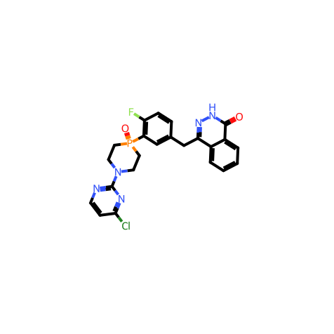 O=c1[nH]nc(Cc2ccc(F)c(P3(=O)CCN(c4nccc(Cl)n4)CC3)c2)c2ccccc12